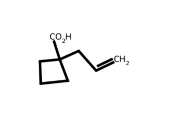 C=CCC1(C(=O)O)CCC1